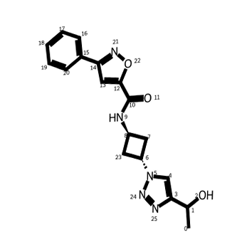 CC(O)c1cn([C@H]2C[C@H](NC(=O)c3cc(-c4ccccc4)no3)C2)nn1